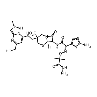 CN1C=C2N=C(CO)C=C(SCC3(C(=O)O)CS[C@@H]4C(NC(=O)C(=NOC(C)(C)C(=O)NN)c5csc(N)n5)C(=O)N4C3)N2N1